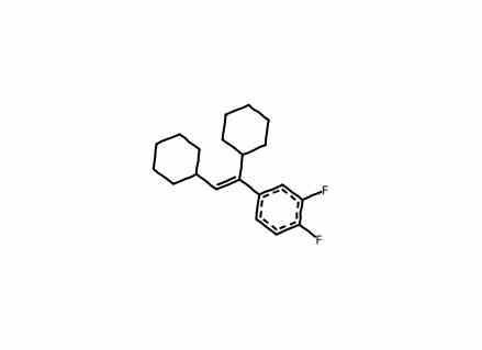 Fc1ccc(C(=CC2CCCCC2)C2CCCCC2)cc1F